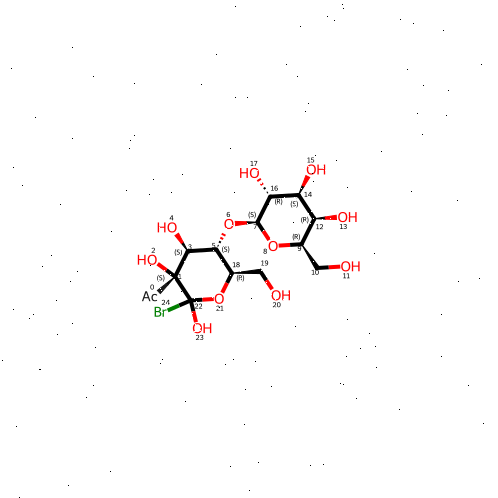 CC(=O)[C@@]1(O)[C@@H](O)[C@H](O[C@@H]2O[C@H](CO)[C@H](O)[C@H](O)[C@H]2O)[C@@H](CO)OC1(O)Br